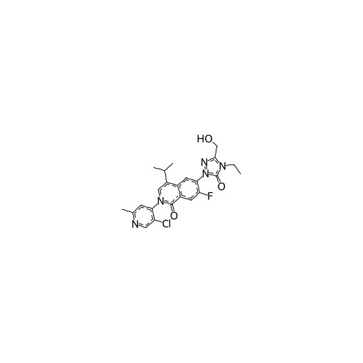 CCn1c(CO)nn(-c2cc3c(C(C)C)cn(-c4cc(C)ncc4Cl)c(=O)c3cc2F)c1=O